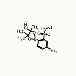 CCNS(=O)(=O)c1cc(N)ccc1B1OC(C)(C)C(C)(C)O1